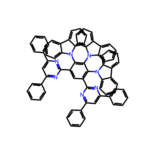 c1ccc(-c2cc(-c3ccccc3)nc(-c3cc(-c4nc(-c5ccccc5)cc(-c5ccccc5)n4)c(-n4c5ccccc5c5ccccc54)c(-n4c5ccccc5c5ccccc54)c3-n3c4ccccc4c4ccccc43)n2)cc1